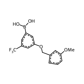 COc1cccc(COc2cc(B(O)O)cc(C(F)(F)F)c2)c1